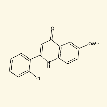 COc1ccc2[nH]c(-c3ccccc3Cl)cc(=O)c2c1